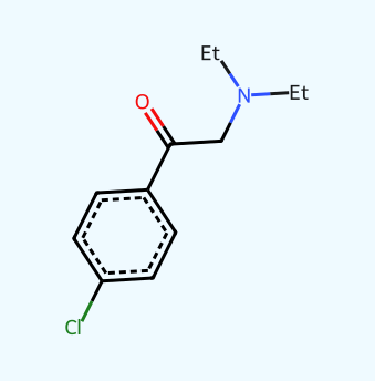 CCN(CC)CC(=O)c1ccc(Cl)cc1